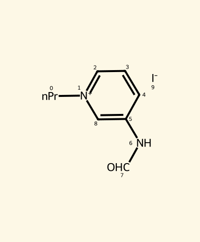 CCC[n+]1cccc(NC=O)c1.[I-]